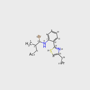 CC(=O)CC(C)C(Br)Nc1ccccc1-c1nc(CC(C)C)cs1